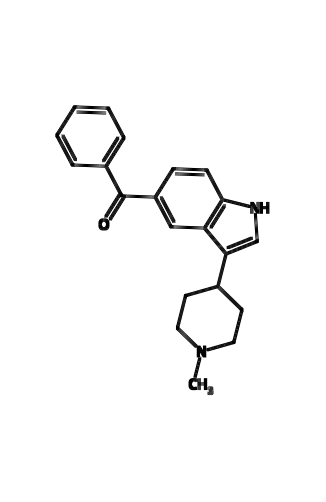 CN1CCC(c2c[nH]c3ccc(C(=O)c4ccccc4)cc23)CC1